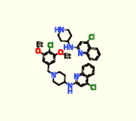 CCOc1cc(CN2CCC(Nc3cc(Cl)c4ccccc4n3)CC2)cc(OCC)c1Cl.Clc1cc(NC2CCNCC2)nc2ccccc12